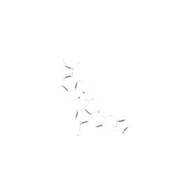 CCOC(=O)c1oc2ccc(S(=O)(=O)N(CC)c3ccc(Cl)cc3CN(Cc3ccco3)C(=O)C(C)(C)C)cc2c1C